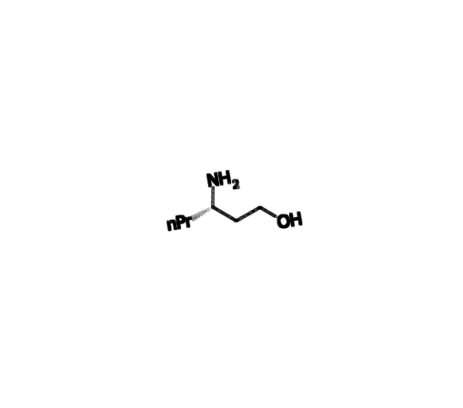 CCC[C@H](N)CCO